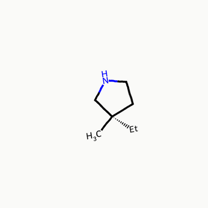 CC[C@@]1(C)CCNC1